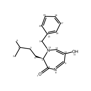 CC(C)CC[C@@H]1C(=O)N=CC(O)=CN1Cc1ccccc1